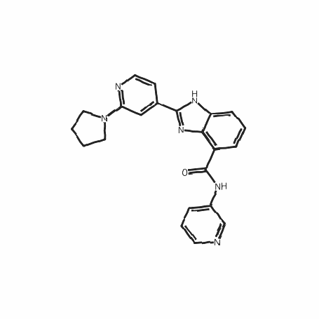 O=C(Nc1cccnc1)c1cccc2[nH]c(-c3ccnc(N4CCCC4)c3)nc12